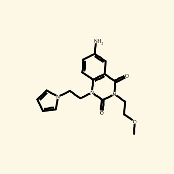 COCCn1c(=O)c2cc(N)ccc2n(CCn2cccc2)c1=O